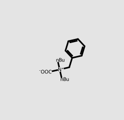 CCCC[N+](CCCC)(Cc1ccccc1)C(=O)[O-]